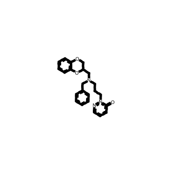 O=c1cccnn1CCCN(Cc1ccccc1)CC1COc2ccccc2O1